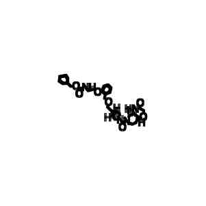 O=C1CO[C@H]2CCN(C(=O)N3C[C@@H]4C(COCc5ccccc5OCCNC(=O)OCc5ccccc5)[C@@H]4C3)C[C@H]2N1